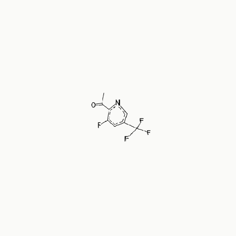 CC(=O)c1ncc(C(F)(F)F)cc1F